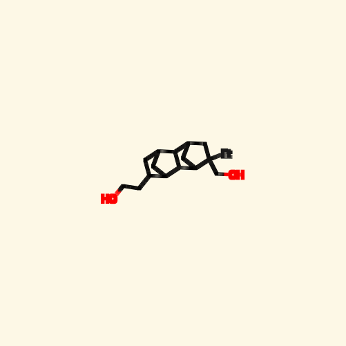 CCC1(CO)CC2CC1C1C3CC(CC3CCO)C21